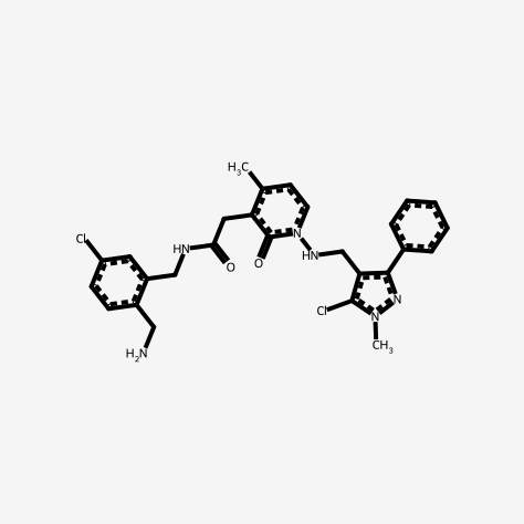 Cc1ccn(NCc2c(-c3ccccc3)nn(C)c2Cl)c(=O)c1CC(=O)NCc1cc(Cl)ccc1CN